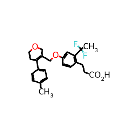 Cc1ccc(C2=C(COc3ccc(CCC(=O)O)c(C(C)(F)F)c3)COCC2)cc1